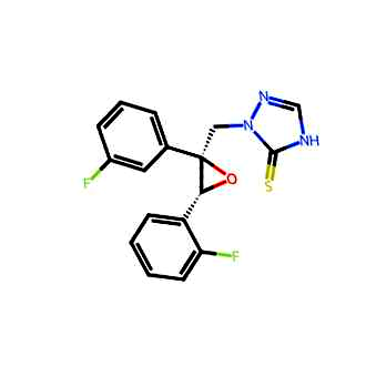 Fc1cccc([C@@]2(Cn3nc[nH]c3=S)O[C@@H]2c2ccccc2F)c1